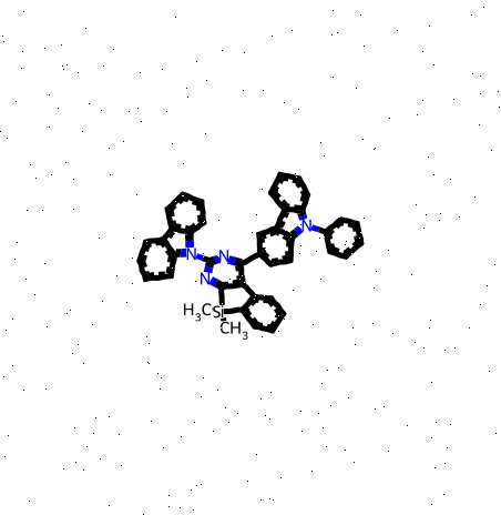 C[Si]1(C)c2ccccc2-c2c(-c3ccc4c(c3)c3ccccc3n4-c3ccccc3)nc(-n3c4ccccc4c4ccccc43)nc21